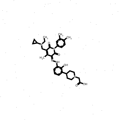 CCN(CC1=C(C)C(=NNc2cccc(C3CCN(CC(=O)O)CC3)c2O)C(=O)N(c2ccc(C)c(C)c2)C1=O)C1CC1